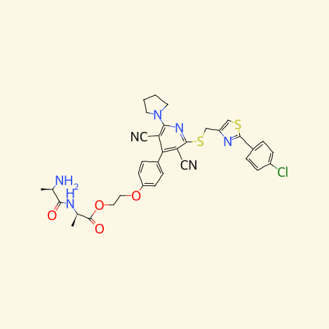 C[C@@H](N)C(=O)N[C@H](C)C(=O)OCCOc1ccc(-c2c(C#N)c(SCc3csc(-c4ccc(Cl)cc4)n3)nc(N3CCCC3)c2C#N)cc1